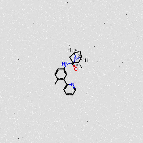 Cc1ccc(NC(=O)N2[C@H]3CC[C@@H](C)[C@@H]2C3)cc1-c1ccccn1